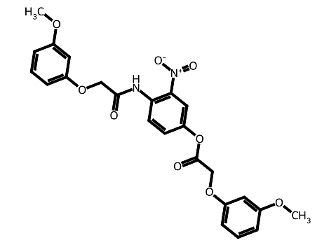 COc1cccc(OCC(=O)Nc2ccc(OC(=O)COc3cccc(OC)c3)cc2[N+](=O)[O-])c1